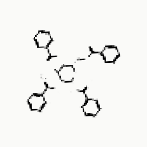 CO[C@]1(O)[C@H](OC(=O)c2ccccc2)[C@@H](COC(=O)c2ccccc2)O[C@H](OC(=O)c2ccccc2)[C@@H]1OC(=O)c1ccccc1